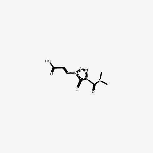 CN(C)C(=O)n1nnn(C=CC(=O)O)c1=O